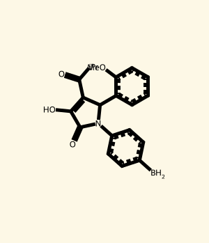 Bc1ccc(N2C(=O)C(O)=C(C(=O)C(C)C)C2c2ccccc2OC)cc1